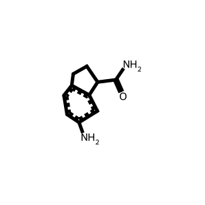 NC(=O)C1CCc2ccc(N)cc21